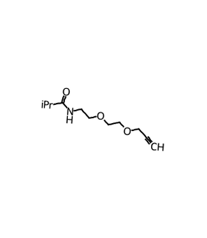 C#CCOCCOCCNC(=O)C(C)C